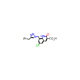 CC(C)Cc1cn(Cc2cc(Cl)cc3cc(C(=O)O)c(=O)[nH]c23)nn1